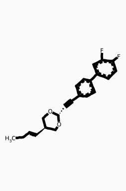 CCC=C[C@H]1CO[C@H](C#Cc2ccc(-c3ccc(F)c(F)c3)cc2)OC1